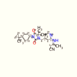 C[C@@H](CC#N)Nc1cc(CN2C(=O)N(c3ccc(C4(C(F)(F)F)CC4)cc3)C(=O)C2(C)C)ccn1